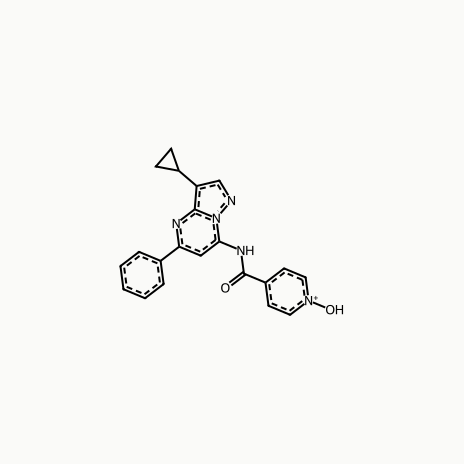 O=C(Nc1cc(-c2ccccc2)nc2c(C3CC3)cnn12)c1cc[n+](O)cc1